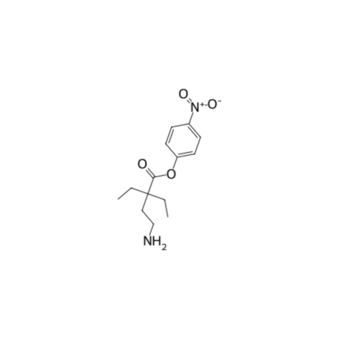 CCC(CC)(CCN)C(=O)Oc1ccc([N+](=O)[O-])cc1